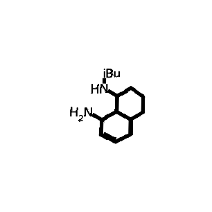 CCC(C)NC1CCCC2CC=CC(N)C21